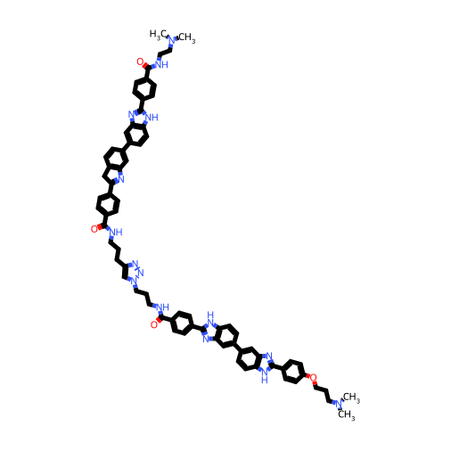 CN(C)CCCOc1ccc(-c2nc3cc(-c4ccc5[nH]c(-c6ccc(C(=O)NCCCn7cc(CCCNC(=O)c8ccc(C9=Nc%10cc(-c%11ccc%12[nH]c(-c%13ccc(C(=O)NCCN(C)C)cc%13)nc%12c%11)ccc%10C9)cc8)nn7)cc6)nc5c4)ccc3[nH]2)cc1